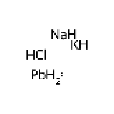 Cl.[KH].[NaH].[PbH2]